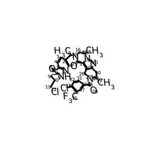 CC(c1ccc(S(=N)(=O)CCCCl)nc1)N1C[C@@H](C)n2nc3c(c2C1=O)CN(C(=O)c1ccc(Cl)c(C(F)(F)F)c1)[C@H](C)C3